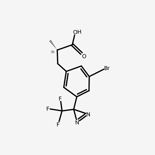 C[C@@H](Cc1cc(Br)cc(C2(C(F)(F)F)N=N2)c1)C(=O)O